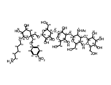 CC(=O)NC1C(O[C@@H]2OC(CO)[C@H](O)C(O)C2O)[C@@H](O)C(CO)O[C@H]1OC1C(O)[C@@H](O[C@H]2C(CO)O[C@@H](OCC3(COc4ccc([N+](=O)[O-])cc4)CC(O)C(O)[C@H](OCCCCCN)O3)C(O)C2O)OC(CO)[C@@H]1O